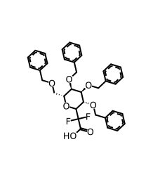 O=C(O)C(F)(F)C1O[C@H](COCc2ccccc2)[C@@H](OCc2ccccc2)[C@@H](OCc2ccccc2)[C@@H]1OCc1ccccc1